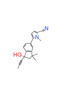 CC#CC1(O)CC(C)(C)c2cc(-c3ccc(C#N)n3C)ccc21